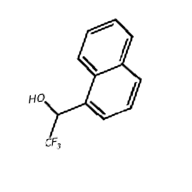 OC(c1cccc2ccccc12)C(F)(F)F